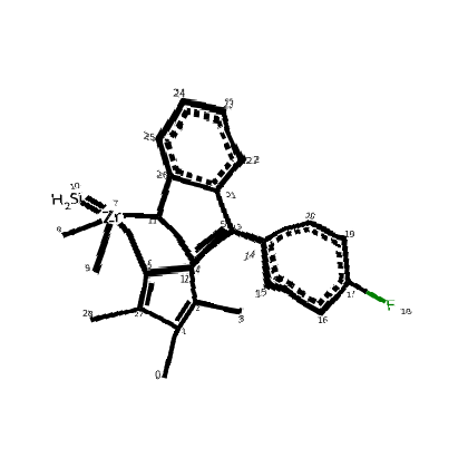 CC1=C(C)C(C)[C]([Zr]([CH3])([CH3])(=[SiH2])[CH]2C=C(c3ccc(F)cc3)c3ccccc32)=C1C